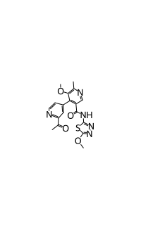 COc1nnc(NC(=O)c2cnc(C)c(OC)c2-c2ccnc(C(C)=O)c2)s1